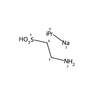 C[CH](C)[Na].NCCS(=O)(=O)O